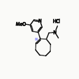 COc1cncc(/C2=C/CCCCCC2CN(C)C)c1.Cl